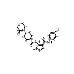 Cn1ncc(C(=O)Nc2ccc(Cl)cn2)c1NC(=O)[C@H]1CC[C@H](N2CCOCC2=O)CC1